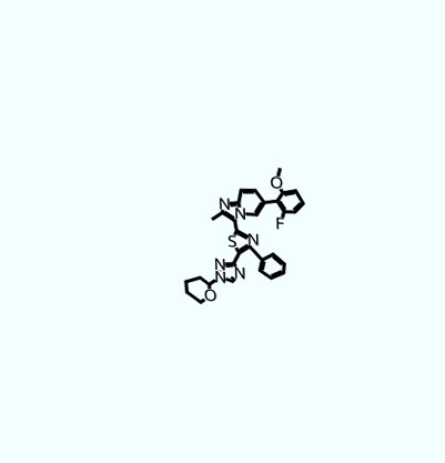 COc1cccc(F)c1-c1ccc2nc(C)c(-c3nc(-c4ccccc4)c(-c4ncn(C5CCCCO5)n4)s3)n2c1